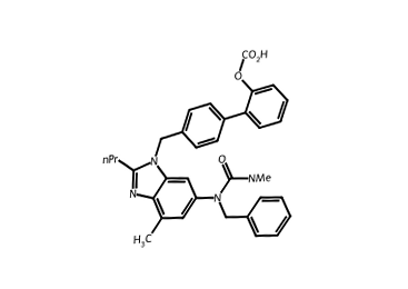 CCCc1nc2c(C)cc(N(Cc3ccccc3)C(=O)NC)cc2n1Cc1ccc(-c2ccccc2OC(=O)O)cc1